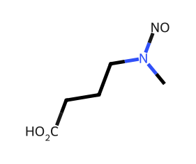 CN(CCCC(=O)O)N=O